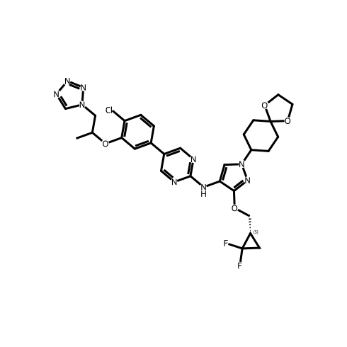 CC(Cn1cnnn1)Oc1cc(-c2cnc(Nc3cn(C4CCC5(CC4)OCCO5)nc3OC[C@@H]3CC3(F)F)nc2)ccc1Cl